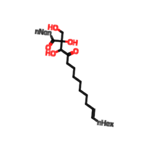 CCCCCCC=CCCCCCCCC(=O)C(O)C(O)(CO)C(=O)CCCCCCCCC